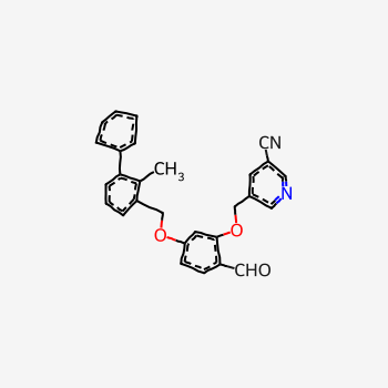 Cc1c(COc2ccc(C=O)c(OCc3cncc(C#N)c3)c2)cccc1-c1ccccc1